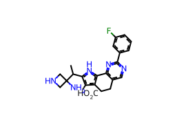 CC(c1[nH]c2c(c1C(=O)O)CCc1cnc(-c3cccc(F)c3)nc1-2)C1(N)CNC1